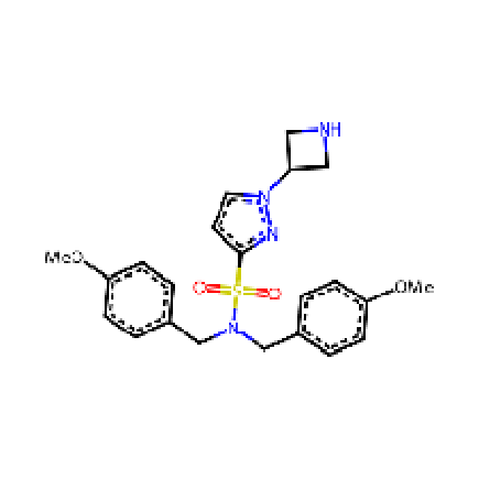 COc1ccc(CN(Cc2ccc(OC)cc2)S(=O)(=O)c2ccn(C3CNC3)n2)cc1